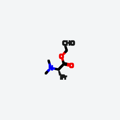 CC(C)[C@@H](C(=O)OCC=O)N(C)C